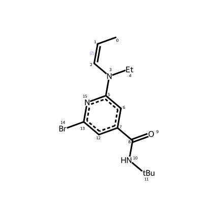 C/C=C\N(CC)c1cc(C(=O)NC(C)(C)C)cc(Br)n1